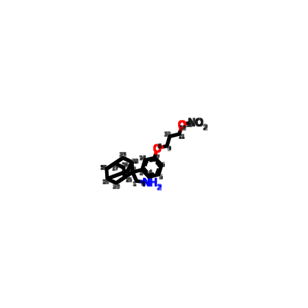 NCC1(c2cccc(OCCCO[N+](=O)[O-])c2)C2CC3CC(C2)CC1C3